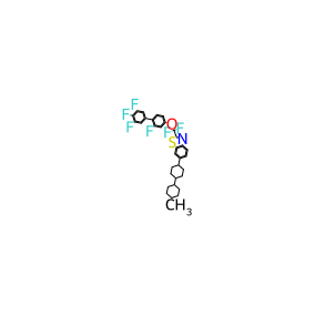 CC1CCC(C2CCC(c3ccc4nc(C(F)(F)Oc5ccc(-c6cc(F)c(F)c(F)c6)c(F)c5)sc4c3)CC2)CC1